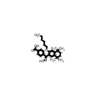 CCCCCCOc1cc2c(cc1C(=NO)c1ccc(C(=O)O)cc1)C(C)(C)CCC2(C)C